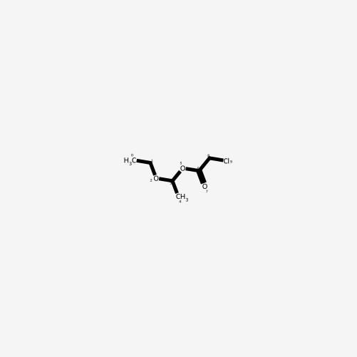 CCOC(C)OC(=O)CCl